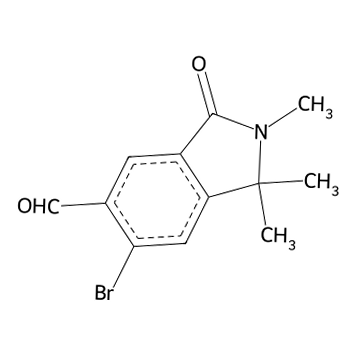 CN1C(=O)c2cc(C=O)c(Br)cc2C1(C)C